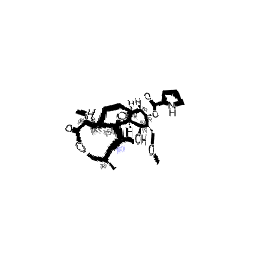 CC[C@H]1C(=O)OC[C@H](C)/C=C(\C)[C@]23O[C@@H]4[C@H](C=C[C@H]12)[C@H]3[C@H](O)[C@@H](COC)[C@H]4OC(=O)c1ccc[nH]1